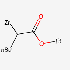 CCCC[CH]([Zr])C(=O)OCC